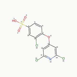 O=S(=O)(O)c1ccc(Oc2cc(Cl)nc(Cl)c2)c(Cl)c1